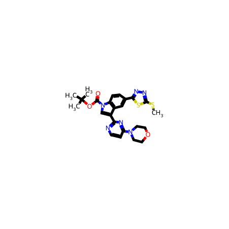 CSc1nnc(-c2ccc3c(c2)c(-c2nccc(N4CCOCC4)n2)cn3C(=O)OC(C)(C)C)s1